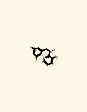 C[C@@H](Cc1cc(F)cc(F)c1)c1ncccc1Br